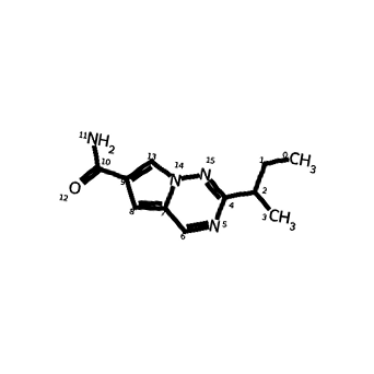 CCC(C)c1ncc2cc(C(N)=O)cn2n1